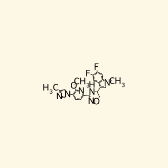 COc1nc(C2=NOCC(c3cn(C)c4cc(F)c(F)cc34)N2)ccc1-n1cnc(C)c1